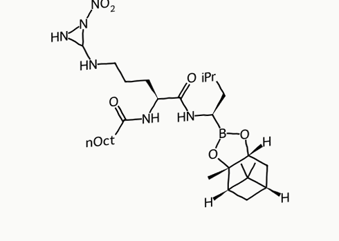 CCCCCCCCC(=O)N[C@@H](CCCNC1NN1[N+](=O)[O-])C(=O)N[C@@H](CC(C)C)B1O[C@@H]2C[C@@H]3C[C@@H](C3(C)C)[C@]2(C)O1